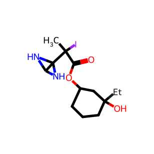 CCC1(O)CCCC(OC(=O)C(C)(I)C23NC2N3)C1